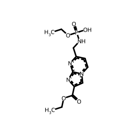 CCOC(=O)c1cn2ccc(CNP(=O)(O)OCC)nc2n1